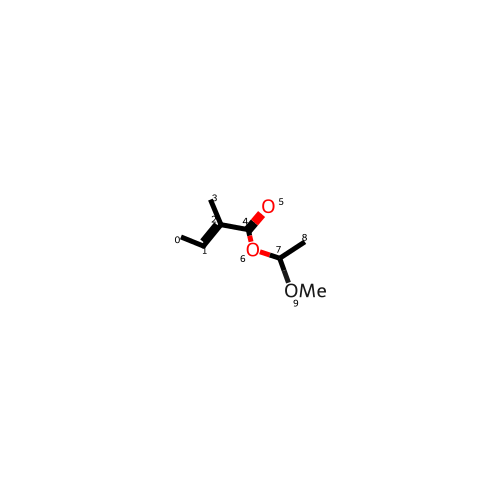 CC=C(C)C(=O)OC(C)OC